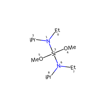 CCN(C(C)C)[Si](OC)(OC)N(CC)C(C)C